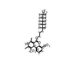 CCOC(=O)C1=C(C)NC(C)=C(C(=O)OCCCC(F)(F)C(F)(F)C(F)(F)C(F)(F)C(F)(F)C(F)(F)F)C1c1cccc([N+](=O)[O-])c1